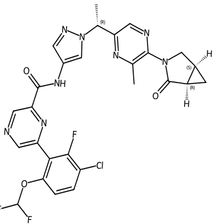 Cc1nc([C@@H](C)n2cc(NC(=O)c3cncc(-c4c(OC(F)F)ccc(Cl)c4F)n3)cn2)cnc1N1C[C@H]2C[C@H]2C1=O